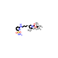 CC(C)(C)OC(=O)N1C[C@@H](CCCCNc2cccc(S(N)(=O)=O)n2)CC1(C)C